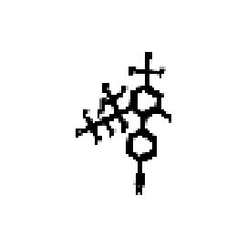 N#Cc1ccc(-c2c(I)[c]c(C(F)(F)F)cc2C(F)(C(F)(F)F)C(F)(F)C(F)(F)F)cc1